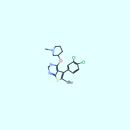 CN1CCCC(Oc2ncnc3sc(C(C)(C)C)c(-c4ccc(Cl)c(Cl)c4)c23)C1